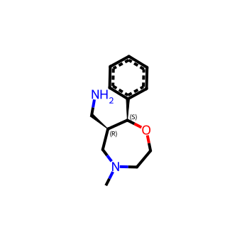 CN1CCO[C@H](c2ccccc2)[C@H](CN)C1